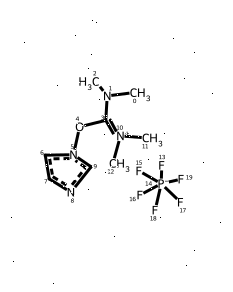 CN(C)C(On1ccnc1)=[N+](C)C.F[P-](F)(F)(F)(F)F